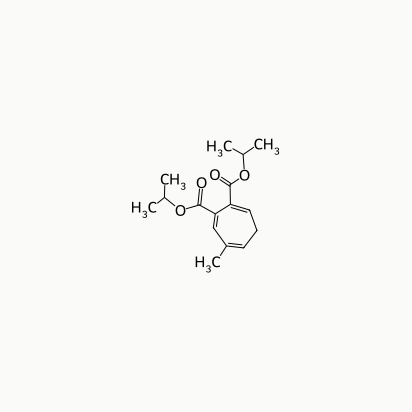 CC1=CCC=C(C(=O)OC(C)C)C(C(=O)OC(C)C)=C1